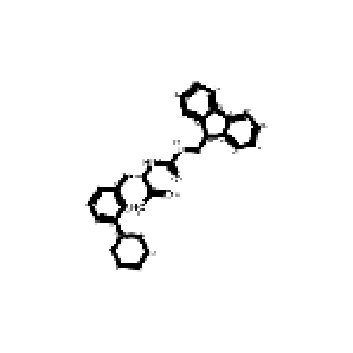 O=C(N[C@@H](Cc1cccc(C2CCCCC2)c1)C(=O)O)OCC1c2ccccc2-c2ccccc21